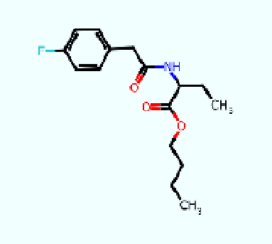 CCCCOC(=O)C(CC)NC(=O)Cc1ccc(F)cc1